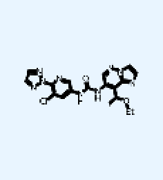 CCOC(C)c1c(NC(=O)Nc2cnc(-n3nccn3)c(Cl)c2)cnn2ccnc12